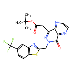 CC(C)(C)OC(=O)Cc1nn(Cc2nc3cc(C(F)(F)F)ccc3s2)c(=O)c2nccnc12